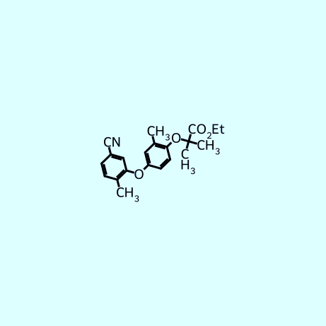 CCOC(=O)C(C)(C)Oc1ccc(Oc2cc(C#N)ccc2C)cc1C